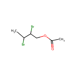 CC(=O)OCC(Br)C(C)Br